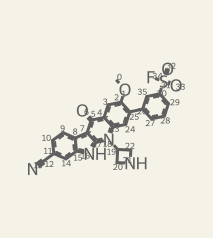 COc1cc2c(=O)c3c4ccc(C#N)cc4[nH]c3n(C3CNC3)c2cc1-c1cccc(S(=O)(=O)F)c1